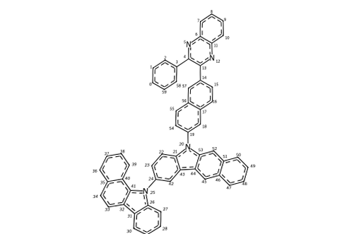 c1ccc(-c2nc3ccccc3nc2-c2ccc3cc(-n4c5ccc(-n6c7ccccc7c7ccc8ccccc8c76)cc5c5cc6ccccc6cc54)ccc3c2)cc1